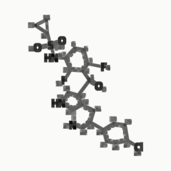 O=C(c1c(F)ccc(NS(=O)(=O)C2CC2)c1F)c1c[nH]c2ncc(-c3ccc(Cl)cc3)cc12